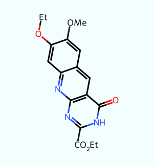 CCOC(=O)c1nc2nc3cc(OCC)c(OC)cc3cc2c(=O)[nH]1